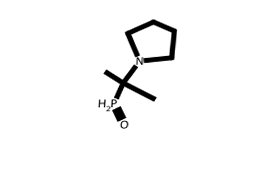 CC(C)([PH2]=O)N1CCCC1